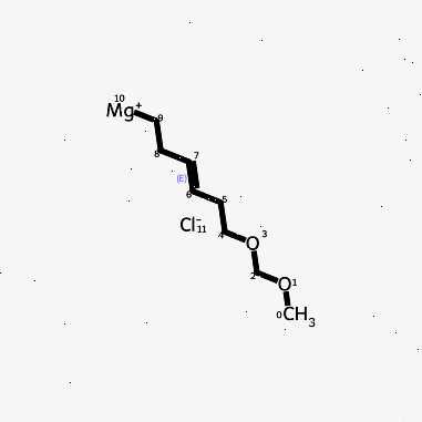 COCOCC/C=C/C[CH2][Mg+].[Cl-]